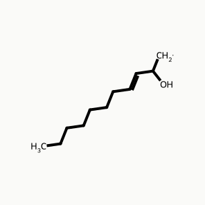 [CH2]C(O)C=CCCCCCCC